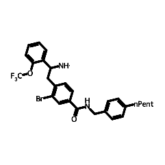 CCCCCc1ccc(CNC(=O)c2ccc(CC([NH])c3ccccc3OC(F)(F)F)c(Br)c2)cc1